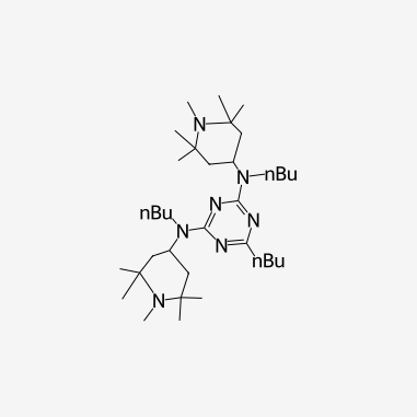 CCCCc1nc(N(CCCC)C2CC(C)(C)N(C)C(C)(C)C2)nc(N(CCCC)C2CC(C)(C)N(C)C(C)(C)C2)n1